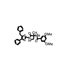 COc1cc(OC)cc(C(=O)NC(C)(CI)C(=O)Nc2nc(-c3ccccc3)c(Cc3ccccc3)s2)c1